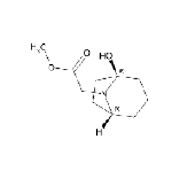 COC(=O)CN1[C@@H]2CCC[C@@]1(O)CC2